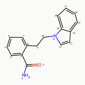 NC(=O)c1ccccc1CCn1ccc2ccccc21